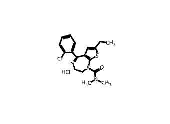 CCc1cc2c(s1)N(C(=O)N(C)C)CCN=C2c1ccccc1Cl.Cl